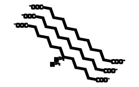 O=C([O-])CCCCCCCCCCC(=O)[O-].O=C([O-])CCCCCCCCCCC(=O)[O-].O=C([O-])CCCCCCCCCCC(=O)[O-].[Bi+3].[Bi+3]